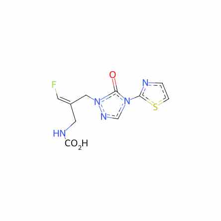 O=C(O)NC/C(=C/F)Cn1ncn(-c2nccs2)c1=O